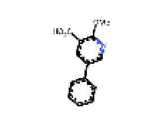 COc1ncc(-c2ccccc2)cc1C(=O)O